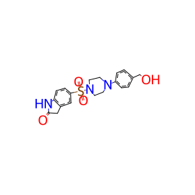 O=C1Cc2cc(S(=O)(=O)N3CCN(c4ccc(CO)cc4)CC3)ccc2N1